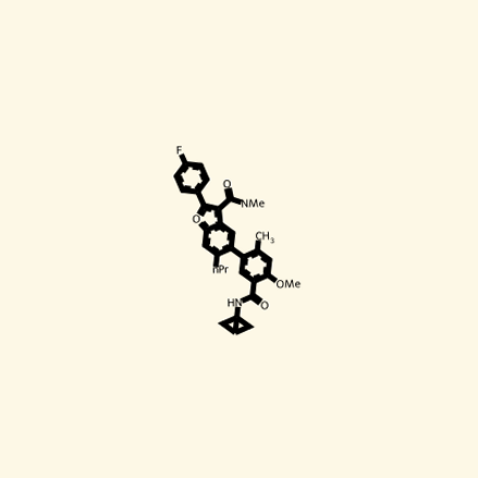 CCCc1cc2oc(-c3ccc(F)cc3)c(C(=O)NC)c2cc1-c1cc(C(=O)NC23CC2C3)c(OC)cc1C